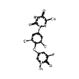 CC(C)n1cc(Oc2c(Cl)cc(-n3nc(C#N)c(=O)[nH]c3=O)cc2Cl)cc(F)c1=O